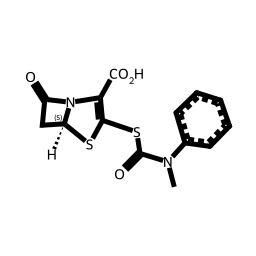 CN(C(=O)SC1=C(C(=O)O)N2C(=O)C[C@@H]2S1)c1ccccc1